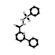 O=C(NNS(=O)(=O)c1ccccc1)c1cccc(-c2ccccc2)n1